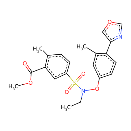 CCN(Oc1ccc(-c2cocn2)c(C)c1)S(=O)(=O)c1ccc(C)c(C(=O)OC)c1